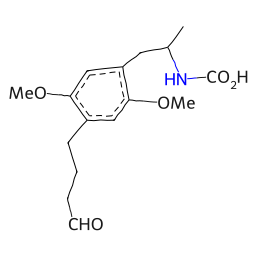 COc1cc(CC(C)NC(=O)O)c(OC)cc1CCCC=O